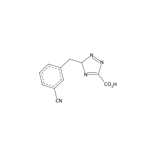 N#Cc1cccc(CC2N=NC(C(=O)O)=N2)c1